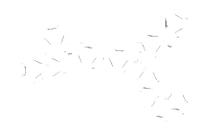 c1ccc2c(-c3ccc(N(c4ccc(-c5ccc(-n6c7ccccc7c7c8ccccc8ccc76)cc5)cc4)c4ccc5c(c4)sc4ccccc45)cc3)cccc2c1